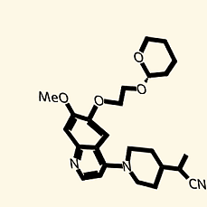 COc1cc2nccc(N3CCC(C(C)C#N)CC3)c2cc1OCCO[C@H]1CCCCO1